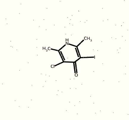 Cc1[nH]c(C)c(I)c(=O)c1Cl